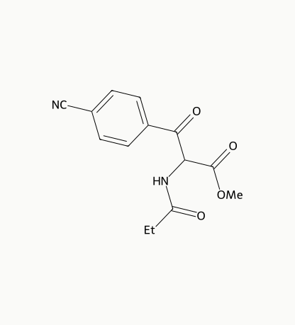 CCC(=O)NC(C(=O)OC)C(=O)c1ccc(C#N)cc1